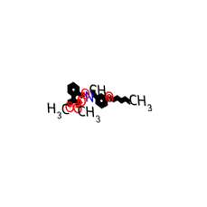 CCCCCCOc1cccc(C(C)=NOCc2ccccc2C(=COC)C(=O)OC)c1